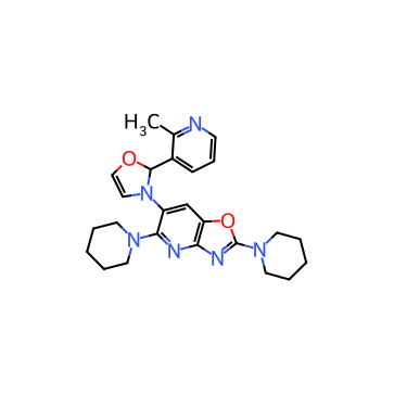 Cc1ncccc1C1OC=CN1c1cc2oc(N3CCCCC3)nc2nc1N1CCCCC1